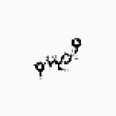 N=C/C(=C(/Cl)C(=O)Nc1cccc(Cl)c1)N1CCN(S(=O)(=O)Cc2ccncc2)CC1